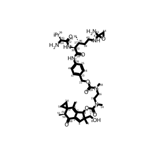 CC1=C2C(=CC(C)(CO)C2OC(=O)N(C)CCN(C)C(=O)OCc2ccc(NC(=O)[C@@H](NC(=O)[C@@H](N)C(C)C)[C@H](C)CCNC3(N)CO3)cc2)C(=O)[C@@H](C)C12CC2